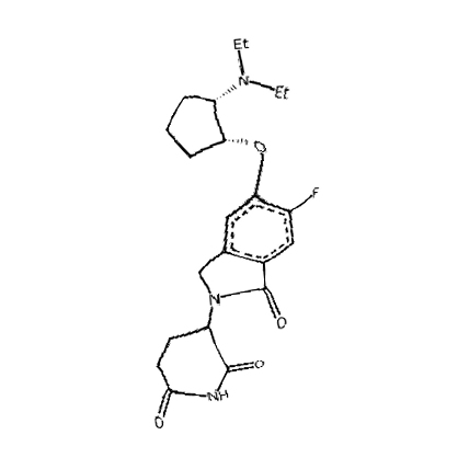 CCN(CC)[C@H]1CCC[C@H]1Oc1cc2c(cc1F)C(=O)N(C1CCC(=O)NC1=O)C2